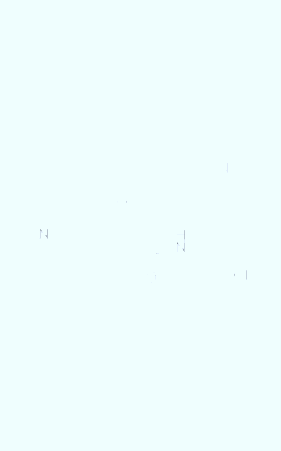 CN1CCCCc2cc3c(C(=O)NCCO)c(-c4ccc(F)cc4)oc3cc21